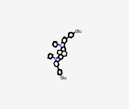 CC(C)(C)c1ccc(C2=Cc3c(n(-c4ccccc4)c4c5c6c(cc34)CCc3cc4c7cc(-c8ccc(C(C)(C)C)cc8)ccc7n(-c7ccccc7)c4c(c3-6)CC5)CC2)cc1